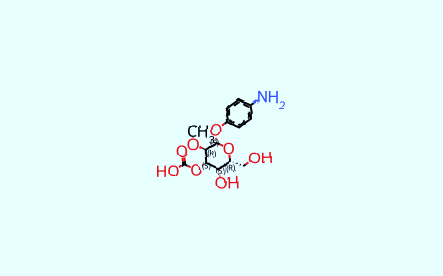 CO[C@H]1[C@H](Oc2ccc(N)cc2)O[C@H](CO)[C@H](O)[C@@H]1OC(=O)O